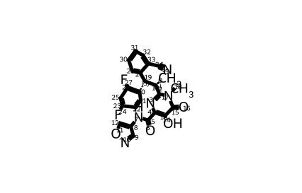 C[C@H](c1nc(C(=O)Nc2cnoc2)c(O)c(=O)n1C)[C@H](c1ccc(F)cc1F)c1ccccc1C#N